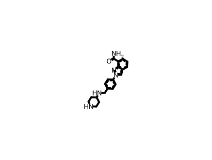 NC(=O)c1cccc2cn(-c3ccc(CNC4CCNCC4)cc3)nc12